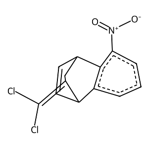 O=[N+]([O-])c1cccc2c1C1C=CC2C(=C(Cl)Cl)C1